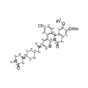 COc1cc2c(cc1OC(C)C)[C@H](c1ccc(Cl)cc1)N(c1ccc(N(C)CC3CCC(N4CCN(C)C(=O)C4)CC3)cn1)C(=O)C2